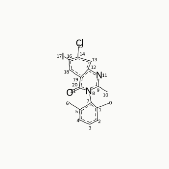 Cc1cccc(C)c1-n1c(C)nc2cc(Cl)c(I)cc2c1=O